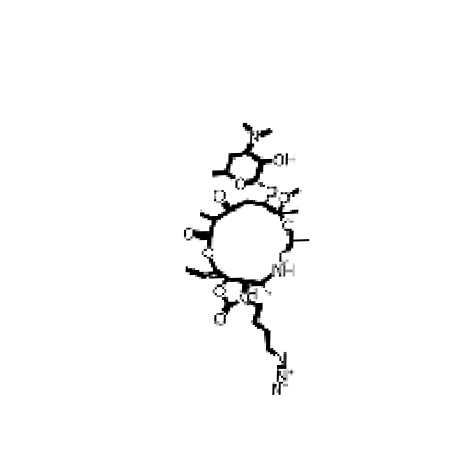 CC[C@H]1OC(=O)C(C)C(=O)C[C@@H](O[C@@H]2OC(C)CC(N(C)C)C2O)[C@](C)(OC)C[C@@H](C)CN[C@H](C)[C@H]2N(CCCCN=[N+]=[N-])C(=O)O[C@]12C